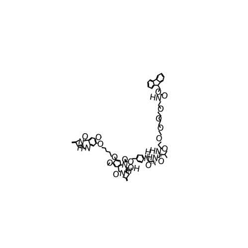 C=C1C[C@H]2C=Nc3cc(OCCCCCOc4cc5c(cc4OC)C(=O)N4CC(=C)C[C@H]4[C@H](O)N5C(=O)OCc4ccc(NC(=O)[C@H](C)NC(=O)[C@@H](NC(=O)CCOCCOCCOCCOCCNC(=O)OCC5c6ccccc6-c6ccccc65)C(C)C)cc4)c(OC)cc3C(=O)N2C1